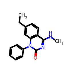 CCc1ccc2c(NC)nc(=O)n(-c3ccccc3)c2c1